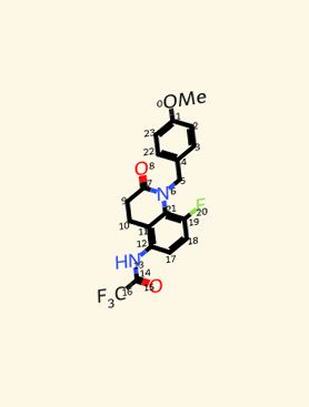 COc1ccc(CN2C(=O)CCc3c(NC(=O)C(F)(F)F)ccc(F)c32)cc1